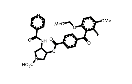 COCOc1ccc(OC)c(F)c1C(=O)c1ccc(C(=O)OC2CN(C(=O)O)CC2NC(=O)c2ccncc2)cc1